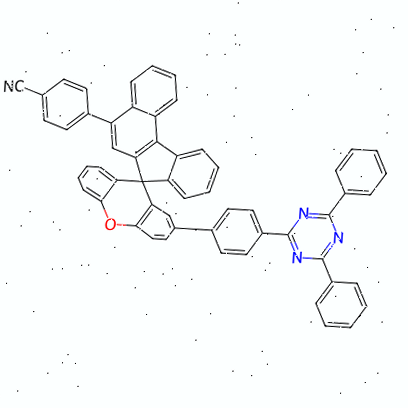 N#Cc1ccc(-c2cc3c(c4ccccc24)-c2ccccc2C32c3ccccc3Oc3ccc(-c4ccc(-c5nc(-c6ccccc6)nc(-c6ccccc6)n5)cc4)cc32)cc1